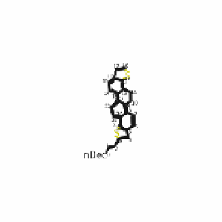 CCCCCCCCCCCCc1cc2ccc3c4ccc5c(ccc6ccsc65)c4ccc3c2s1